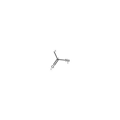 C[C](=O)[Na]